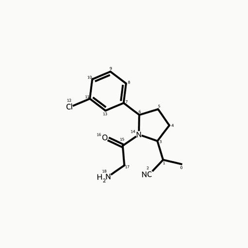 CC(C#N)C1CCC(c2cccc(Cl)c2)N1C(=O)CN